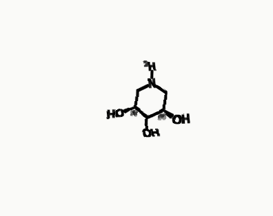 [2H]N1C[C@@H](O)C(O)[C@@H](O)C1